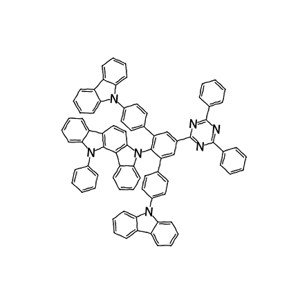 c1ccc(-c2nc(-c3ccccc3)nc(-c3cc(-c4ccc(-n5c6ccccc6c6ccccc65)cc4)c(-n4c5ccccc5c5c4ccc4c6ccccc6n(-c6ccccc6)c45)c(-c4ccc(-n5c6ccccc6c6ccccc65)cc4)c3)n2)cc1